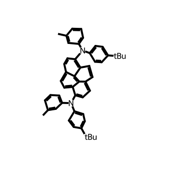 Cc1cccc(N(c2ccc(C(C)(C)C)cc2)c2ccc3ccc4c(N(c5ccc(C(C)(C)C)cc5)c5cccc(C)c5)ccc5ccc2c3c54)c1